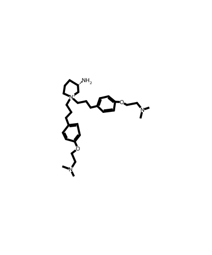 CN(C)CCOc1ccc(CCC[N+]2(CCCc3ccc(OCCN(C)C)cc3)CCC[C@H](N)C2)cc1